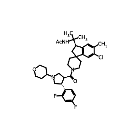 CC(=O)NC(C)(C)[C@@H]1CC2(CCN(C(=O)[C@@H]3CN(C4CCOCC4)C[C@H]3c3ccc(F)cc3F)CC2)c2cc(Cl)c(C)cc21